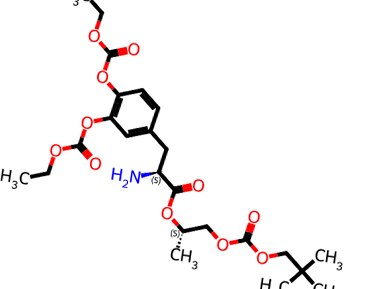 CCOC(=O)Oc1ccc(C[C@H](N)C(=O)O[C@@H](C)COC(=O)OCC(C)(C)C)cc1OC(=O)OCC